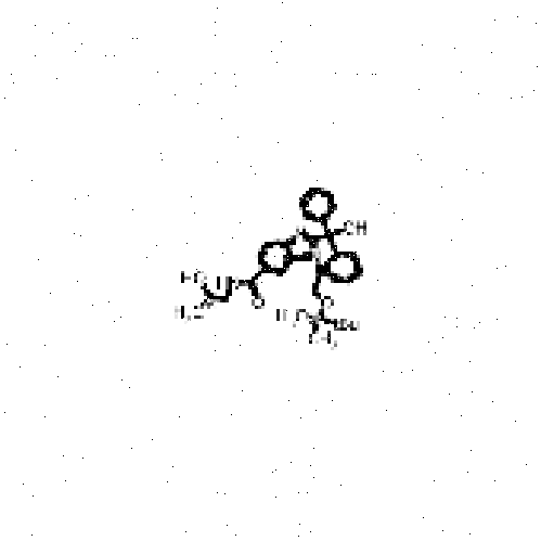 C[C@@H](O)CNC(=O)c1ccc2nc(C(O)(c3ccccc3)c3ccccc3)n(CCO[Si](C)(C)C(C)(C)C)c2c1